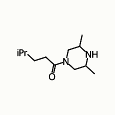 CC(C)CCC(=O)N1CC(C)NC(C)C1